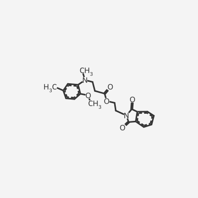 COc1ccc(C)cc1N(C)CCC(=O)OCCN1C(=O)c2ccccc2C1=O